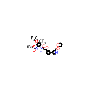 CC(C)(C)OC(=O)Nc1cc(OCC(F)(F)F)c(C(F)(F)F)cc1NC(=O)CC(=O)c1cccc(-c2ccnc(COC3CCCCO3)c2)c1